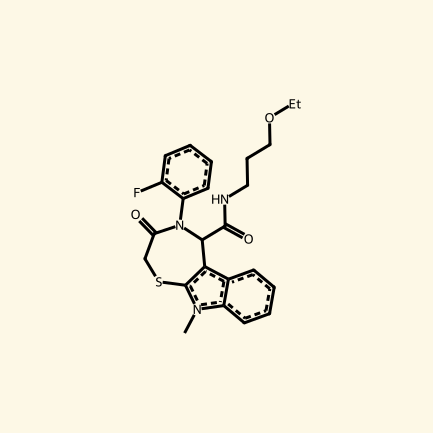 CCOCCCNC(=O)C1c2c(n(C)c3ccccc23)SCC(=O)N1c1ccccc1F